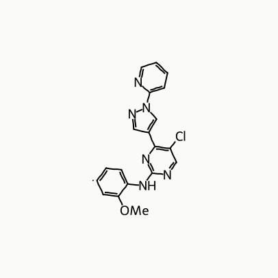 COc1c[c]ccc1Nc1ncc(Cl)c(-c2cnn(-c3ccccn3)c2)n1